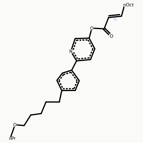 CCCCCCCC/C=C/C(=O)Oc1ccc(-c2ccc(CCCCCOCCC)cc2)nc1